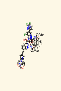 COC(=O)NC(C(=O)N[C@@H](Cc1ccc(C#Cc2ccc(N3CC[N+]4([O-])CCOC[C@H]4C3)nc2)cc1)[C@@H](O)CN(Cc1c(F)cc(-c2ccn(C(F)F)n2)cc1F)NC(=O)C(NC(=O)OC)C(C)(C)C(F)(F)F)C(C)(C)C(F)(F)F